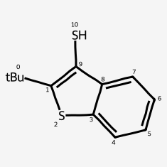 CC(C)(C)c1sc2ccccc2c1S